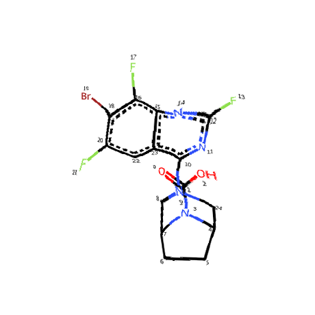 O=C(O)N1C2CCC1CN(c1nc(F)nc3c(F)c(Br)c(F)cc13)C2